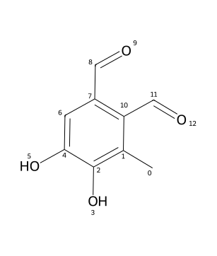 Cc1c(O)c(O)cc(C=O)c1C=O